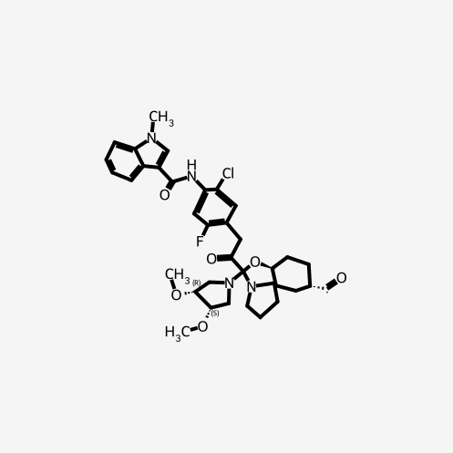 CO[C@H]1CN(C(O[C@H]2CC[C@H]([C]=O)CC2)(C(=O)Cc2cc(Cl)c(NC(=O)c3cn(C)c4ccccc34)cc2F)N2CCCC2)C[C@H]1OC